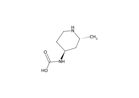 C[C@@H]1C[C@@H](NC(=O)O)CCN1